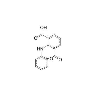 O=C(O)c1cccc(C(=O)O)c1Nc1ccccc1